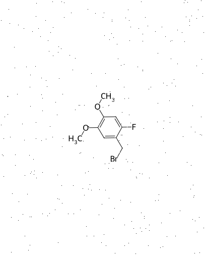 COc1cc(F)c(CBr)cc1OC